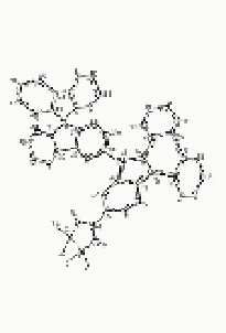 CC1(C)OB(c2ccc3c4c5ccccc5c5ccccc5c4n(-c4ccc5c(c4)-c4ccccc4C5(c4ccccc4)c4ccccc4)c3c2)OC1(C)C